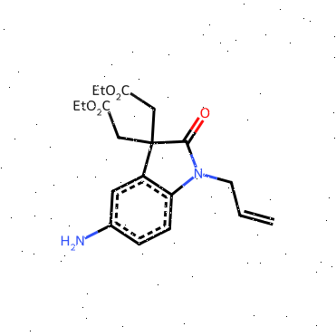 C=CCN1C(=O)C(CC(=O)OCC)(CC(=O)OCC)c2cc(N)ccc21